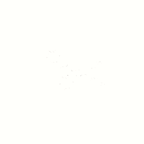 Cc1cc(C)cc([SiH2]OC(CCc2ccccc2)c2ccccc2)c1